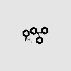 Pc1ccccc1.c1ccc(P(c2ccccc2)c2ccccc2)cc1